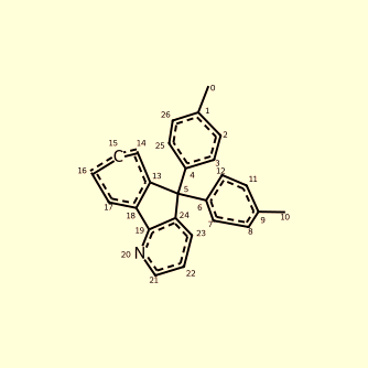 Cc1ccc(C2(c3ccc(C)cc3)c3ccccc3-c3ncccc32)cc1